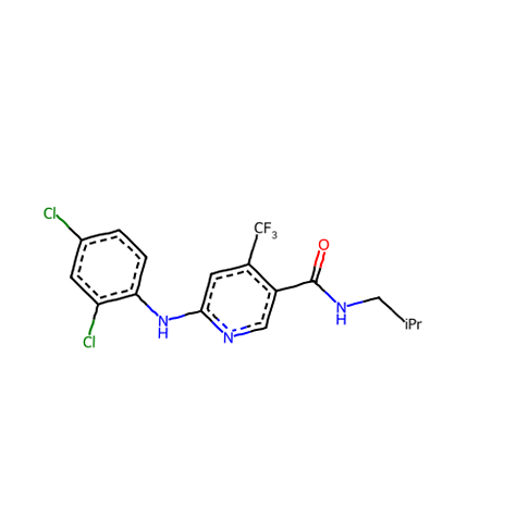 CC(C)CNC(=O)c1cnc(Nc2ccc(Cl)cc2Cl)cc1C(F)(F)F